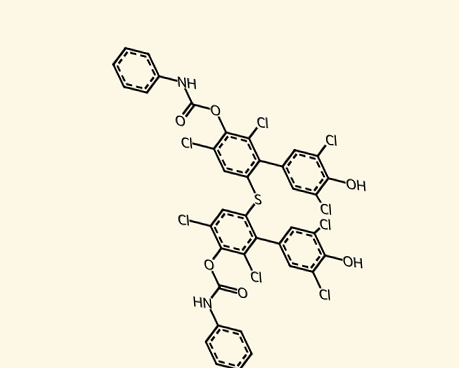 O=C(Nc1ccccc1)Oc1c(Cl)cc(Sc2cc(Cl)c(OC(=O)Nc3ccccc3)c(Cl)c2-c2cc(Cl)c(O)c(Cl)c2)c(-c2cc(Cl)c(O)c(Cl)c2)c1Cl